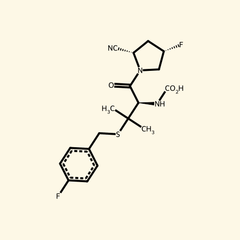 CC(C)(SCc1ccc(F)cc1)[C@H](NC(=O)O)C(=O)N1C[C@@H](F)C[C@H]1C#N